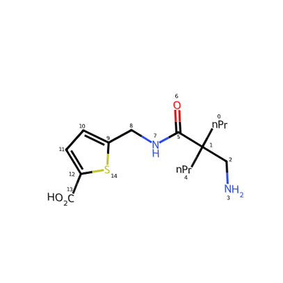 CCCC(CN)(CCC)C(=O)NCc1ccc(C(=O)O)s1